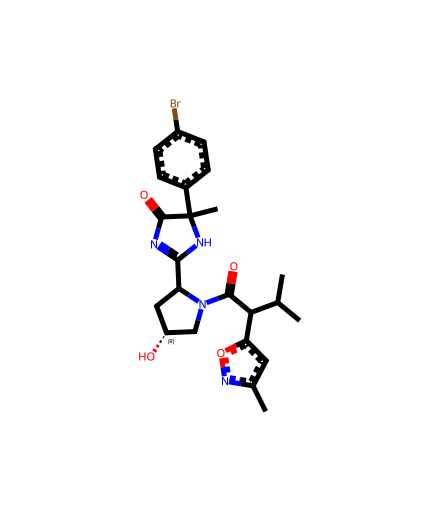 Cc1cc(C(C(=O)N2C[C@H](O)CC2C2=NC(=O)C(C)(c3ccc(Br)cc3)N2)C(C)C)on1